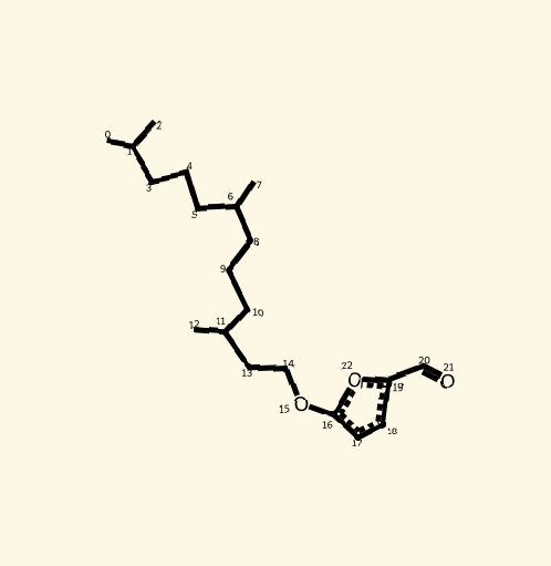 CC(C)CCCC(C)CCCC(C)CCOc1ccc(C=O)o1